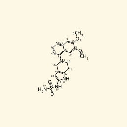 COc1cc2ncnc(N3CCc4[nH]c(NS(N)(=O)=O)cc4C3)c2cc1OC